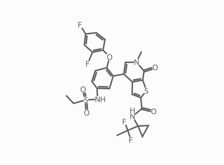 CCS(=O)(=O)Nc1ccc(Oc2ccc(F)cc2F)c(-c2cn(C)c(=O)c3sc(C(=O)NC4(C(C)(F)F)CC4)cc23)c1